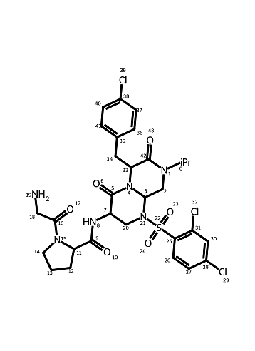 CC(C)N1CC2N(C(=O)C(NC(=O)C3CCCN3C(=O)CN)CN2S(=O)(=O)c2ccc(Cl)cc2Cl)C(Cc2ccc(Cl)cc2)C1=O